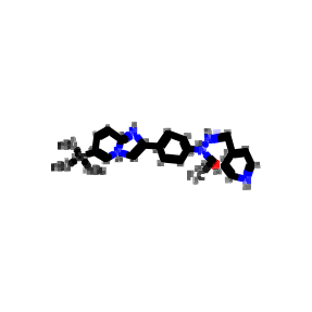 CCC[CH2][Sn]([CH2]CCC)([CH2]CCC)[c]1ccc2nc(-c3ccc(N(/N=C\c4ccncc4)C(=O)C(F)(F)F)cc3)cn2c1